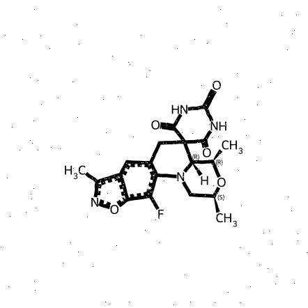 Cc1noc2c(F)c3c(cc12)CC1(C(=O)NC(=O)NC1=O)[C@@H]1[C@@H](C)O[C@@H](C)CN31